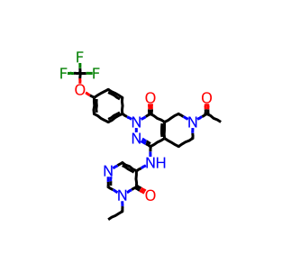 CCn1cncc(Nc2nn(-c3ccc(OC(F)(F)F)cc3)c(=O)c3c2CCN(C(C)=O)C3)c1=O